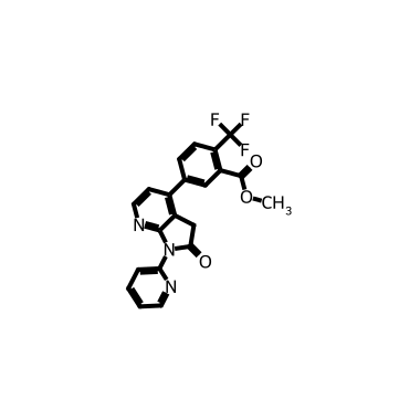 COC(=O)c1cc(-c2ccnc3c2CC(=O)N3c2ccccn2)ccc1C(F)(F)F